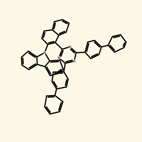 c1ccc(-c2ccc(-c3nc(-c4ccc(-c5ccccc5)cc4)nc(-c4c(-n5c6ccccc6c6ccccc65)ccc5ccccc45)n3)cc2)cc1